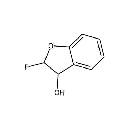 OC1c2ccccc2OC1F